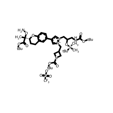 CC(C)(C)OC(=O)NCC(Cn1cc(-c2ccc3c(c2)CC[C@H](C(C)(ON)C(=O)OC(C)(C)C)O3)c[n+]1CC1CN(C(=O)OC(C)(C)C)C1)O[Si](C)(C)C(C)(C)C.O=S(=O)([O-])C(F)(F)F